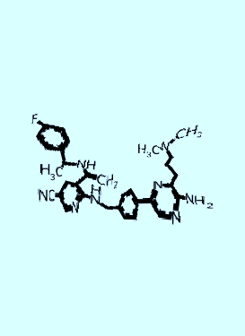 C=C(N[C@@H](C)c1ccc(F)cc1)c1cc(C#N)cnc1NCc1ccc(-c2cnc(N)c(CCCN(C)C)n2)cc1